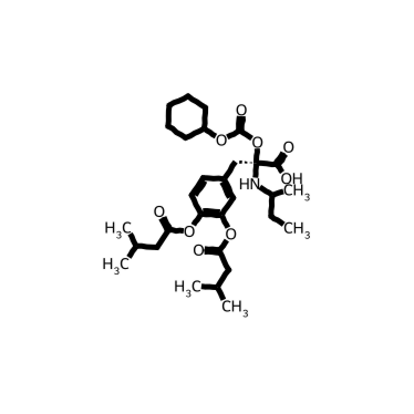 CCC(C)N[C@@](Cc1ccc(OC(=O)CC(C)C)c(OC(=O)CC(C)C)c1)(OC(=O)OC1CCCCC1)C(=O)O